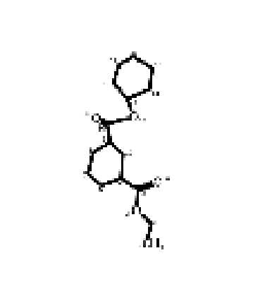 CCOC(=O)C1CCCC(C(=O)OC2CCCCC2)C1